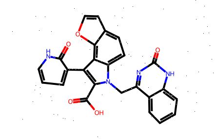 O=C(O)c1c(-c2ccc[nH]c2=O)c2c3occc3ccc2n1Cc1nc(=O)[nH]c2ccccc12